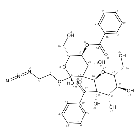 [N-]=[N+]=NCCO[C@]1(O)O[C@H](CO)[C@@H](OC(=O)c2ccccc2)[C@H](O)[C@@]1(O)[C@H]1O[C@H](CO)[C@@H](O)[C@H](O)[C@@]1(O)C(=O)c1ccccc1